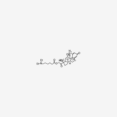 CCN(CC)CCCCCC(=O)OCC(=O)[C@@]1(O)CC[C@H]2[C@@H]3CCC4=CC(=O)C=C(C)[C@]4(C)[C@H]3C(O)C[C@@]21C